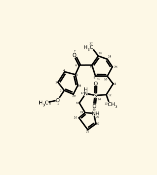 COc1ccc(C(=O)c2cc(CC(C)S(=O)(=O)NCc3ccc[nH]3)ccc2C)cc1